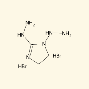 Br.Br.NNC1=NCCN1NN